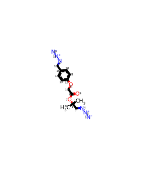 CC(C)(CN=[N+]=[N-])OC(=O)COc1ccc(CN=[N+]=[N-])cc1